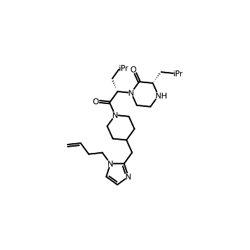 C=CCCn1ccnc1CC1CCN(C(=O)[C@H](CC(C)C)N2CCN[C@@H](CC(C)C)C2=O)CC1